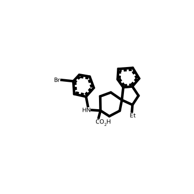 CCC1Cc2ccccc2C12CCC(Nc1cccc(Br)c1)(C(=O)O)CC2